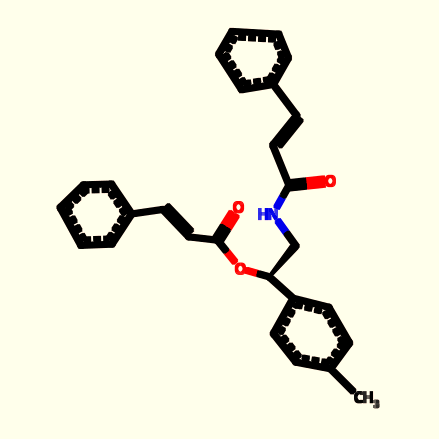 Cc1ccc([C@H](CNC(=O)/C=C/c2ccccc2)OC(=O)/C=C/c2ccccc2)cc1